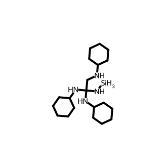 [SiH3]NC(CNC1CCCCC1)(NC1CCCCC1)NC1CCCCC1